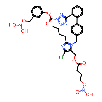 CCCCc1nc(Cl)c(COC(=O)CCCON(O)O)n1Cc1ccc(-c2ccccc2-c2nnn(C(=O)Oc3cccc(CON(O)O)c3)n2)cc1